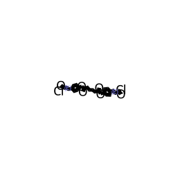 O=C(Cl)/C=C/c1ccc(OC(=O)CCCCC(=O)Oc2ccc(/C=C/C(=O)Cl)cc2)cc1